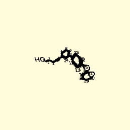 OCCCC#Cc1cccc(-c2ccc(OC3CCCCO3)cc2)c1